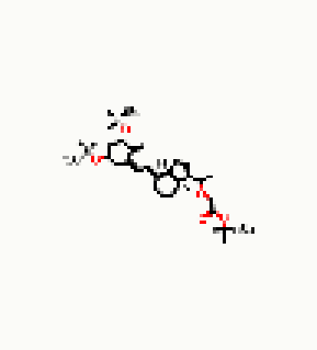 C=C1/C(=C\C=C2/CCC[C@]3(C)C(C(C)OCC(=O)OC(C)(C)CCCC)=CC[C@@H]23)C[C@@H](O[Si](C)(C)C(C)(C)C)C[C@@H]1O[Si](C)(C)C(C)(C)C